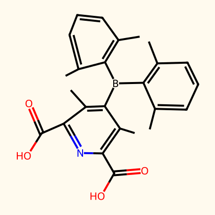 Cc1cccc(C)c1B(c1c(C)cccc1C)c1c(C)c(C(=O)O)nc(C(=O)O)c1C